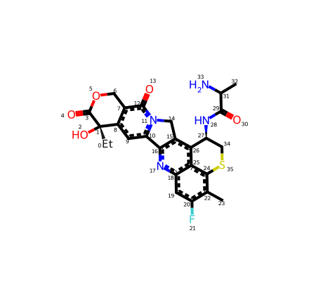 CC[C@@]1(O)C(=O)OCc2c1cc1n(c2=O)Cc2c-1nc1cc(F)c(C)c3c1c2[C@@H](NC(=O)C(C)N)CS3